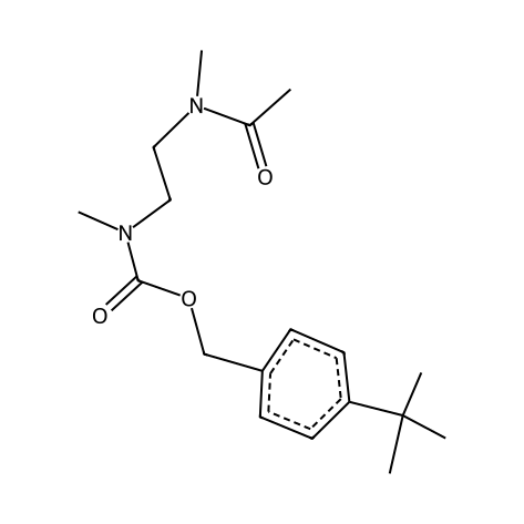 CC(=O)N(C)CCN(C)C(=O)OCc1ccc(C(C)(C)C)cc1